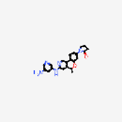 CC1Oc2cc(N3CCCC3=O)ccc2-c2cnc(Nc3cncc(N)c3)cc21